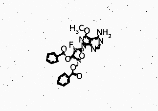 COc1nn([C@@H]2O[C@H](COC(=O)c3ccccc3)[C@@H](OC(=O)c3ccccc3)[C@@H]2F)c2ncnc(N)c12